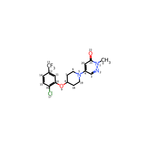 Cn1ncc(N2CCC(Oc3cc(C(F)(F)F)ccc3Cl)CC2)cc1=O